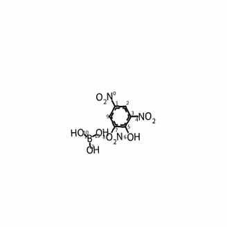 O=[N+]([O-])c1cc([N+](=O)[O-])c(O)c([N+](=O)[O-])c1.OB(O)O